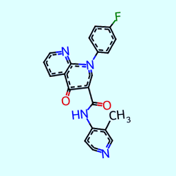 Cc1cnccc1NC(=O)c1cn(-c2ccc(F)cc2)c2ncccc2c1=O